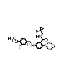 COc1ccc(CNc2ccc(N3CCOCC3)c(C(=O)NCC3(F)CC3)c2)cc1F